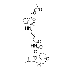 CO[C@H]1[C@H](C2(C)OC2CC=C(C)C)[C@]2(CC[C@H]1OC(=O)NC(=O)CSCCNC(=O)[C@@H]1CCCN1C(=O)COCC(C)=O)CO2